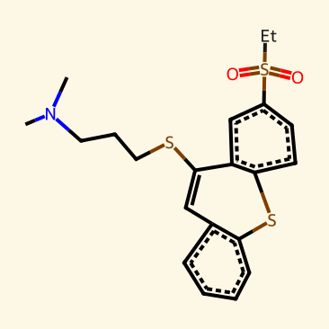 CCS(=O)(=O)c1ccc2c(c1)C(SCCCN(C)C)=Cc1ccccc1S2